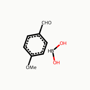 COc1ccc(C=O)cc1.OBO